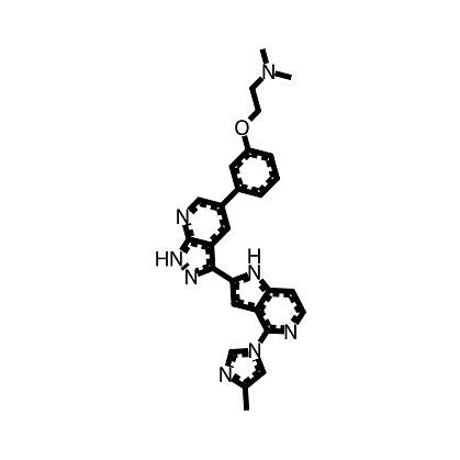 Cc1cn(-c2nccc3[nH]c(-c4n[nH]c5ncc(-c6cccc(OCCN(C)C)c6)cc45)cc23)cn1